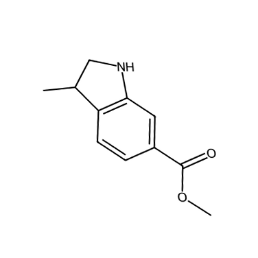 COC(=O)c1ccc2c(c1)NCC2C